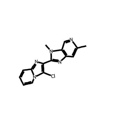 Cc1cc2nc(-c3nc4ccccn4c3Cl)n(C)c2cn1